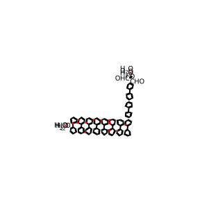 O.O.O.O.O.O.O=CC(=O)C=O.c1ccc(-c2ccccc2)cc1.c1ccc(-c2ccccc2)cc1.c1ccc(-c2ccccc2)cc1.c1ccc(-c2ccccc2)cc1.c1ccc(-c2ccccc2)cc1.c1ccc(-c2ccccc2)cc1.c1ccc(-c2ccccc2)cc1.c1ccc(-c2ccccc2)cc1.c1ccc(-c2ccccc2)cc1.c1ccc(-c2ccccc2)cc1